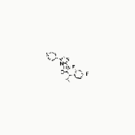 CC(C)C(C(=O)Nc1nc(-c2ccncc2)cs1)c1ccc(F)cc1F